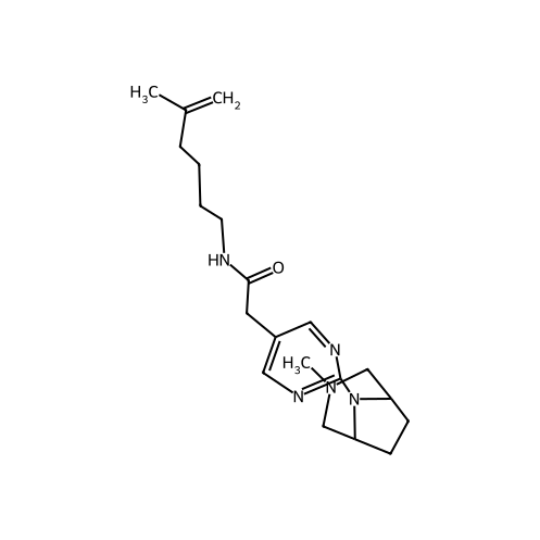 C=C(C)CCCCNC(=O)Cc1cnc(N2C3CCC2CN(C)C3)nc1